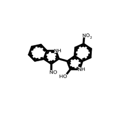 O=Nc1c(-c2c(O)[nH]c3ccc([N+](=O)[O-])cc23)[nH]c2ccccc12